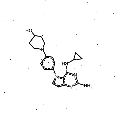 Nc1nc(NC2CC2)c2c(ccn2-c2ccc(N3CCC(O)CC3)cc2)n1